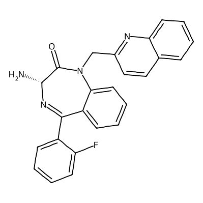 N[C@H]1N=C(c2ccccc2F)c2ccccc2N(Cc2ccc3ccccc3n2)C1=O